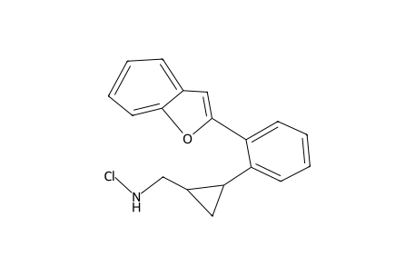 ClNCC1CC1c1ccccc1-c1cc2ccccc2o1